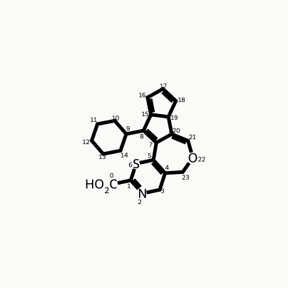 O=C(O)C1=NCC2=C(S1)C1=C(C3CCCCC3)C3=CC=CC3C1=COC2